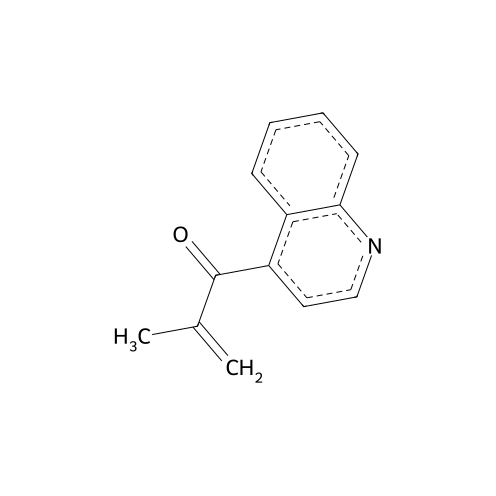 C=C(C)C(=O)c1ccnc2ccccc12